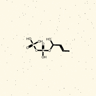 CC=CC(O)OP(=O)(O)OP(=O)(O)O